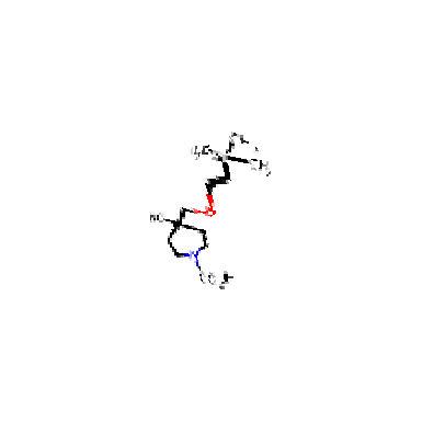 C[Si](C)(C)CCOCC1(C#N)CCN(C(=O)O)CC1